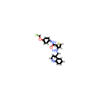 O=C(Nc1ccc(OCF)cc1)c1sccc1NCc1ccnc2ccccc12